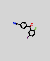 N#Cc1ccc(C(=O)c2cc(I)ccc2F)cc1